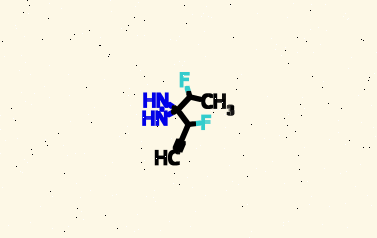 C#CC(F)C1(C(C)F)NN1